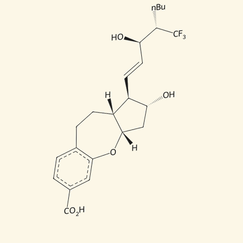 CCCC[C@@H]([C@H](O)/C=C/[C@@H]1[C@H]2CCc3ccc(C(=O)O)cc3O[C@H]2C[C@H]1O)C(F)(F)F